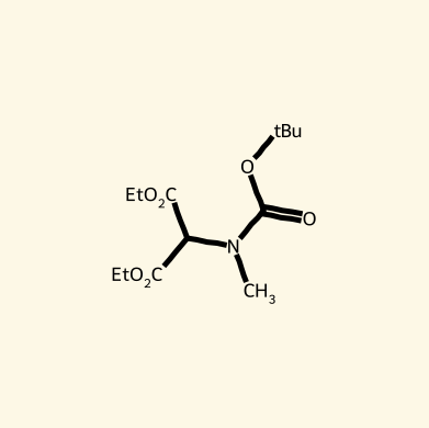 CCOC(=O)C(C(=O)OCC)N(C)C(=O)OC(C)(C)C